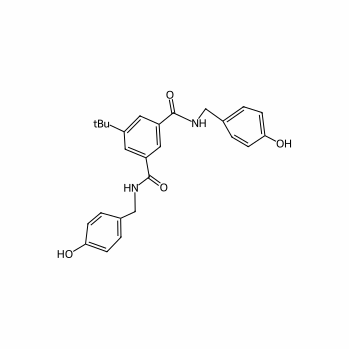 CC(C)(C)c1cc(C(=O)NCc2ccc(O)cc2)cc(C(=O)NCc2ccc(O)cc2)c1